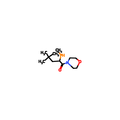 CPC(CC(C)(C)C)C(=O)N1CCOCC1